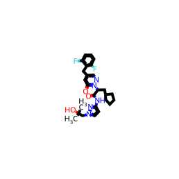 CC(C)(O)Cn1ccc(NC(=O)C(CC2CCCC2)n2ncc(Cc3c(F)cccc3F)cc2=O)n1